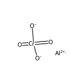 [Al+2].[O]=[Cr](=[O])([O-])[O-]